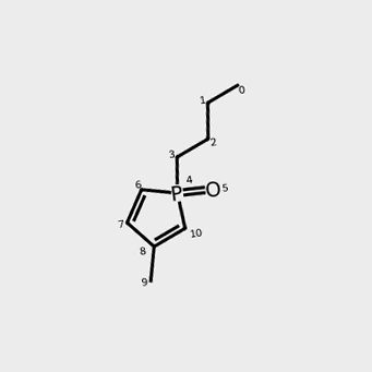 CCCCP1(=O)C=CC(C)=C1